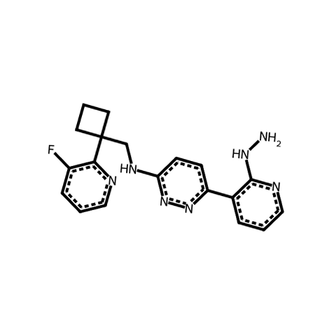 NNc1ncccc1-c1ccc(NCC2(c3ncccc3F)CCC2)nn1